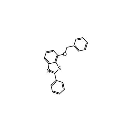 c1ccc(COc2cccc3nc(-c4ccccc4)sc23)cc1